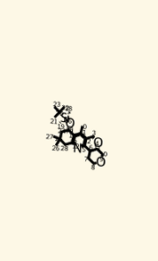 Cc1c(C=O)c(C2CCOCC2)nc2c1[C@@H](O[Si](C)(C)C(C)(C)C)CC(C)(C)C2